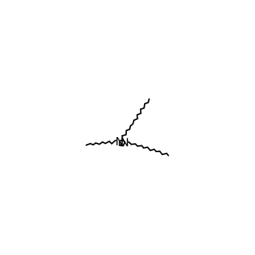 CCCCCCCCCCCCCCCC1N(CCCCCCCCCC)C=CN1CCCCCCCCCCCCCC